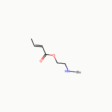 CC=CC(=O)OCCNC(C)(C)C